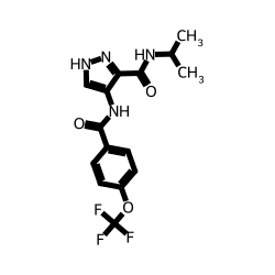 CC(C)NC(=O)c1n[nH]cc1NC(=O)c1ccc(OC(F)(F)F)cc1